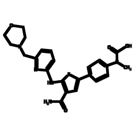 CN(C(=O)O)c1ccc(-c2cc(C(N)=O)c(Nc3cccc(CN4CCOCC4)n3)s2)cc1